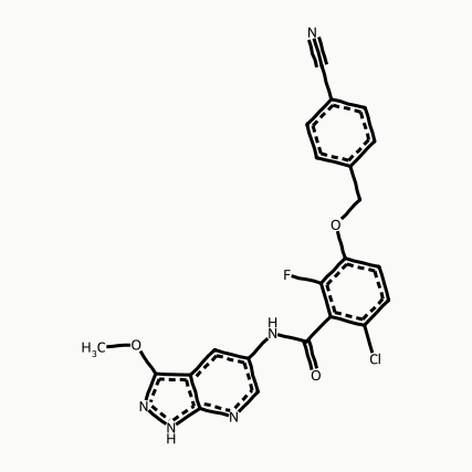 COc1n[nH]c2ncc(NC(=O)c3c(Cl)ccc(OCc4ccc(C#N)cc4)c3F)cc12